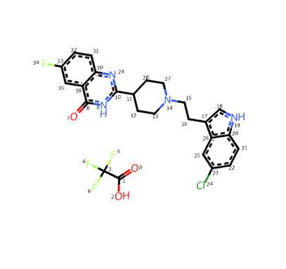 O=C(O)C(F)(F)F.O=c1[nH]c(C2CCN(CCc3c[nH]c4ccc(Cl)cc34)CC2)nc2ccc(F)cc12